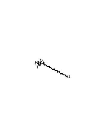 CCC=CCC=CCC=CCC=CCC=CCCCC(=O)n1cc(F)c(=O)[nH]c1=O